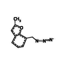 Cc1cc2cccc(CN=[N+]=[N-])c2o1